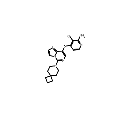 Nc1nccc(Sc2cnc(N3CCC4(CCC4)CC3)n3ccnc23)c1Cl